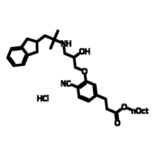 CCCCCCCCOC(=O)CCc1ccc(C#N)c(OCC(O)CNC(C)(C)CC2Cc3ccccc3C2)c1.Cl